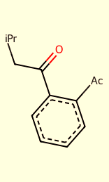 CC(=O)c1ccccc1C(=O)CC(C)C